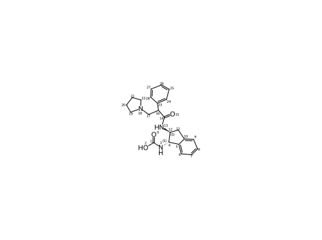 O=C(O)N[C@H]1c2ccccc2C[C@@H]1NC(=O)C(CN1CCCC1)c1ccccc1